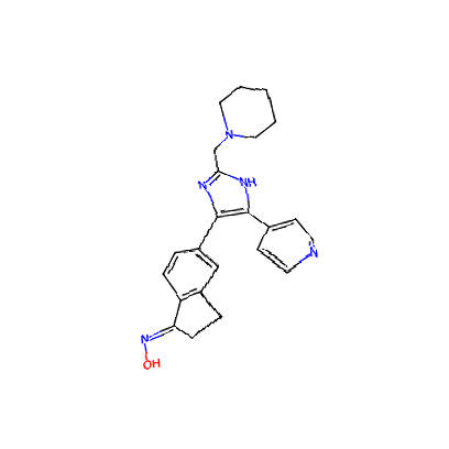 ON=C1CCc2cc(-c3nc(CN4CCCCC4)[nH]c3-c3ccncc3)ccc21